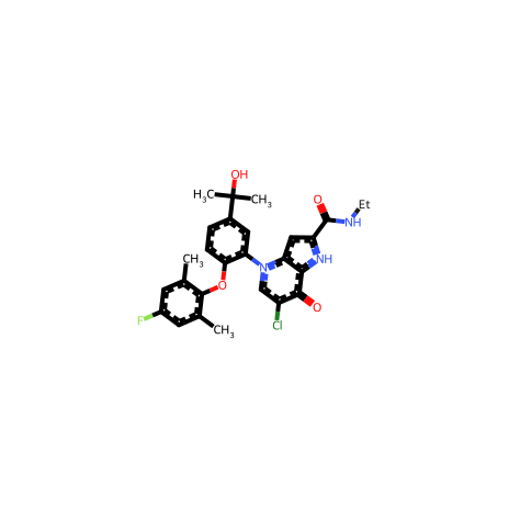 CCNC(=O)c1cc2c([nH]1)c(=O)c(Cl)cn2-c1cc(C(C)(C)O)ccc1Oc1c(C)cc(F)cc1C